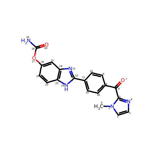 Cn1ccnc1C(=O)c1ccc(-c2nc3cc(OC(N)=O)ccc3[nH]2)cc1